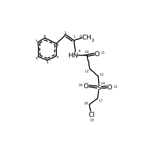 CC(=Cc1ccccc1)NC(=O)CCS(=O)(=O)CCCl